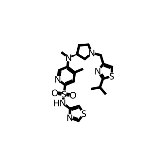 Cc1cc(S(=O)(=O)Nc2cscn2)ncc1N(C)[C@H]1CCN(Cc2csc(C(C)C)n2)C1